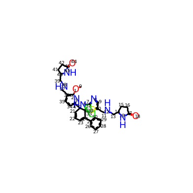 COc1nc(C2(Nc3ncc(CNCC4CCC(=O)N4)s3)C=CC=C(c3ccccc3)C2(Cl)Cl)ccc1CNCC1CCC(=O)N1